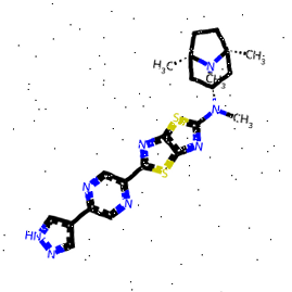 CN(c1nc2sc(-c3cnc(-c4cn[nH]c4)cn3)nc2s1)[C@H]1C[C@]2(C)CC[C@](C)(C1)N2C